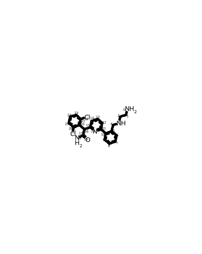 NCCNCc1ccccc1-c1cccc(C(C(N)=O)c2c(Cl)cccc2Cl)n1